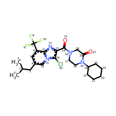 CC(C)Cc1cc(C(F)(F)F)c2nc(C(=O)N3CCN(C4CCCCC4)C(=O)C3)c(Cl)n2c1